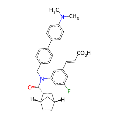 CN(C)c1ccc(-c2ccc(CN(C(=O)[C@@H]3C[C@@H]4CC[C@H]3C4)c3cc(F)cc(C=CC(=O)O)c3)cc2)cc1